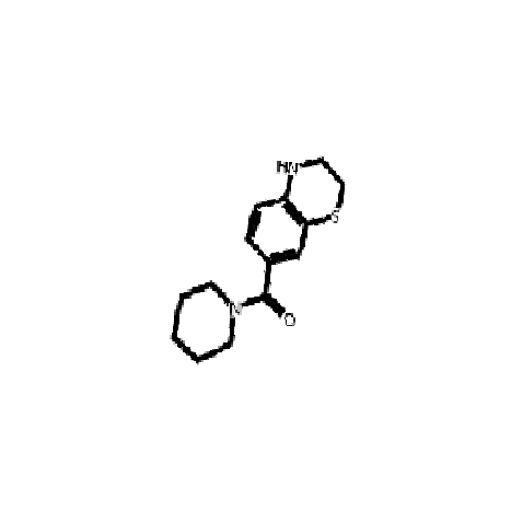 O=C(c1ccc2c(c1)SCCN2)N1CCCCC1